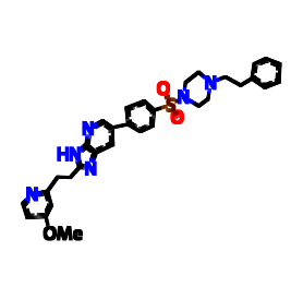 COc1ccnc(CCc2nc3cc(-c4ccc(S(=O)(=O)N5CCN(CCc6ccccc6)CC5)cc4)cnc3[nH]2)c1